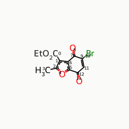 CCOC(=O)c1c(C)oc2c1C(=O)C(Br)=CC2=O